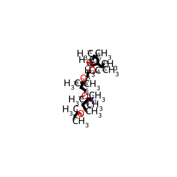 CCC(C)OC(C)CC(C)(C)C(C)(I)OCCC(C)(C)OCCOC(=O)C(CC(C)(C)C)C(C)(C)C